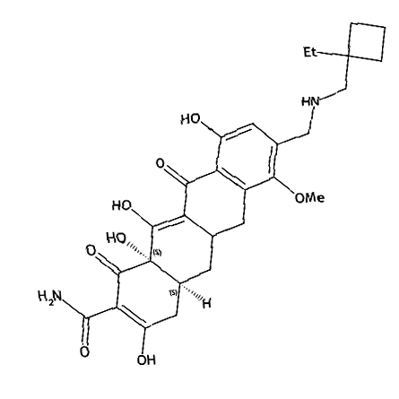 CCC1(CNCc2cc(O)c3c(c2OC)CC2C[C@H]4CC(O)=C(C(N)=O)C(=O)[C@@]4(O)C(O)=C2C3=O)CCC1